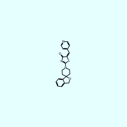 O=C1N=C(N2CCC3(CC2)OCc2ccccc23)S/C1=C/c1ccncc1